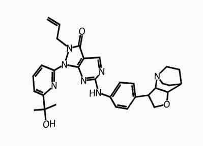 C=CCn1c(=O)c2cnc(Nc3ccc(C4COC5C6CCN(CC6)C45)cc3)nc2n1-c1cccc(C(C)(C)O)n1